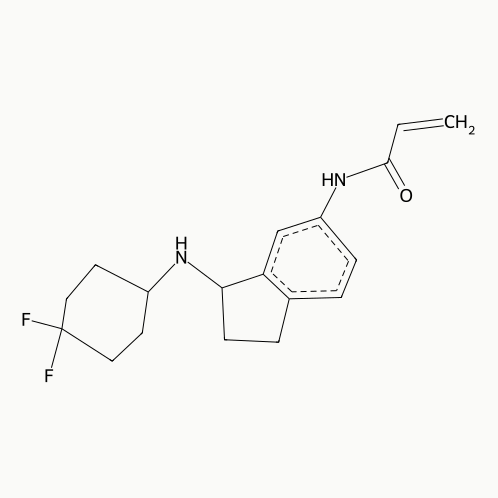 C=CC(=O)Nc1ccc2c(c1)C(NC1CCC(F)(F)CC1)CC2